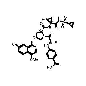 COc1cnc(O[C@@H]2C[C@@H](C(=O)N[C@]3(C(=O)NS(=O)(=O)C4CC4)C[C@H]3I)N(C(=O)[C@@H](Nc3ccc(C(N)=O)cc3)C(C)(C)C)C2)c2cc(Cl)ccc12